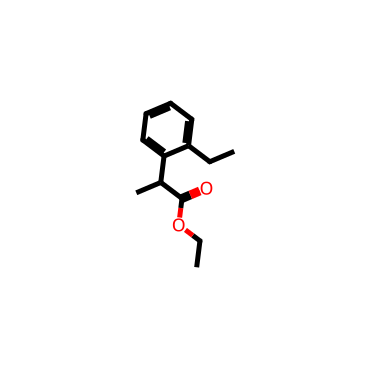 CCOC(=O)C(C)c1ccccc1CC